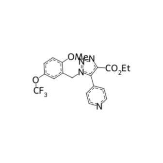 CCOC(=O)c1nnn(Cc2cc(OC(F)(F)F)ccc2OC)c1-c1ccncc1